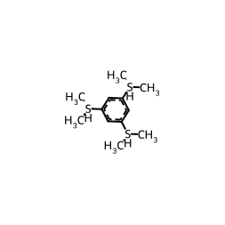 C[SH](C)c1cc([SH](C)C)cc([SH](C)C)c1